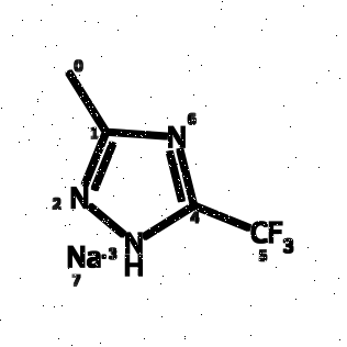 Cc1n[nH]c(C(F)(F)F)n1.[Na]